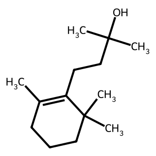 CC1=C(CCC(C)(C)O)C(C)(C)CCC1